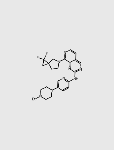 CCN1CCN(c2ccc(Nc3ncc4ccnc(N5CCC6(C5)CC6(F)F)c4n3)nc2)CC1